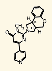 Cn1c(N2C[C@@H]3COc4ccccc4[C@@H]3C2)nc(-c2ccncc2)cc1=O